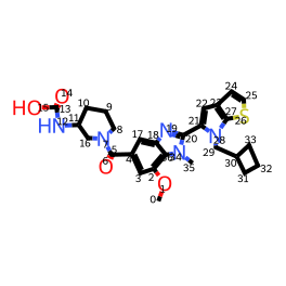 COc1cc(C(=O)N2CCCC(NC(=O)O)C2)cc2nc(-c3cc4ccsc4n3CC3CCC3)n(C)c12